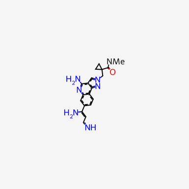 CNC(=O)C1(Cn2cc3c(N)nc4cc(/C(N)=C/C=N)ccc4c3n2)CC1